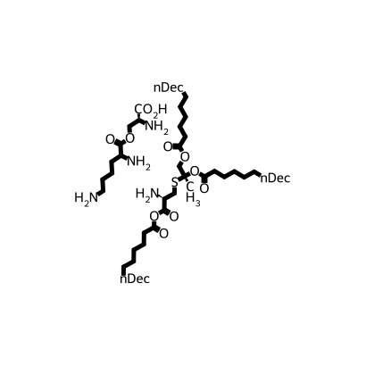 CCCCCCCCCCCCCCCC(=O)OC[C@](C)(OC(=O)CCCCCCCCCCCCCCC)SC[C@@H](N)C(=O)OC(=O)CCCCCCCCCCCCCCC.NCCCCC(N)C(=O)OC[C@H](N)C(=O)O